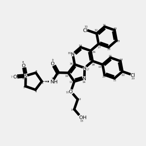 O=C(N[C@@H]1CCS(=O)(=O)C1)c1c(OCCO)nn2c(-c3ccc(Cl)cc3)c(-c3ccccc3Cl)cnc12